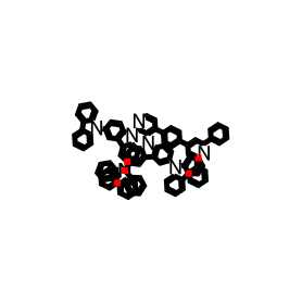 c1ccc(-c2cc(-c3ccc(-c4ccnc(-n5c6ccc(-n7c8ccccc8c8ccccc87)cc6c6cc(-n7c8ccccc8c8ccccc87)ccc65)c4-n4c5ccc(-n6c7ccccc7c7ccccc76)cc5c5cc(-n6c7ccccc7c7ccccc76)ccc54)cc3)cc(-c3ccccc3)n2)cc1